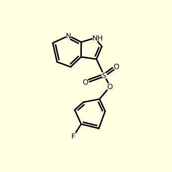 O=S(=O)(Oc1ccc(F)cc1)c1c[nH]c2ncccc12